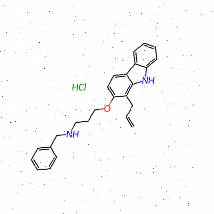 C=CCc1c(OCCCNCc2ccccc2)ccc2c1[nH]c1ccccc12.Cl